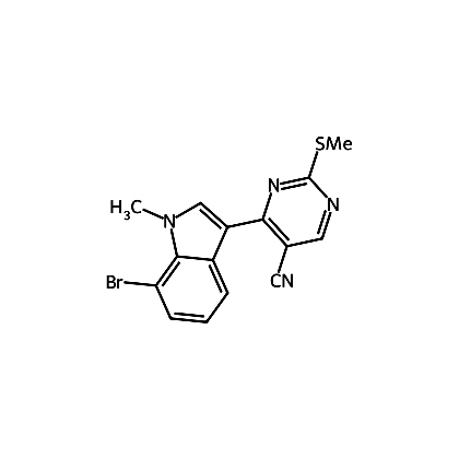 CSc1ncc(C#N)c(-c2cn(C)c3c(Br)cccc23)n1